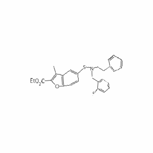 CCOC(=O)c1oc2ccc(SN(CCc3ccccc3)Cc3ccccc3F)cc2c1C